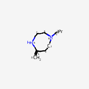 C=C1CCN(C(C)C)CCN1